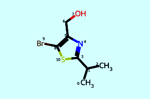 CC(C)c1nc(CO)c(Br)s1